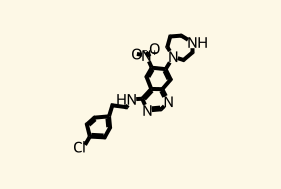 O=[N+]([O-])c1cc2c(NCCc3ccc(Cl)cc3)ncnc2cc1N1CCCNCC1